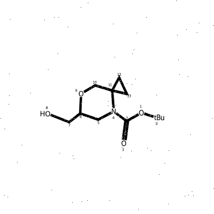 CC(C)(C)OC(=O)N1CC(CO)OCC12CC2